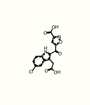 O=C(O)Cc1c(C(=O)c2cc(C(=O)O)no2)[nH]c2ccc(Cl)cc12